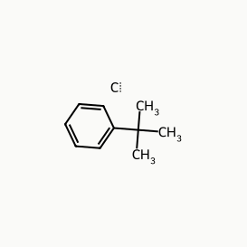 CC(C)(C)c1ccccc1.[C]